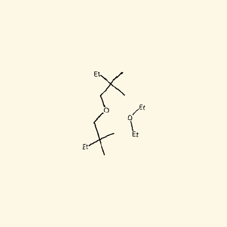 CCC(C)(C)COCC(C)(C)CC.CCOCC